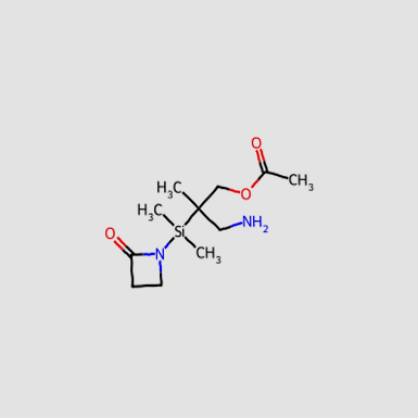 CC(=O)OCC(C)(CN)[Si](C)(C)N1CCC1=O